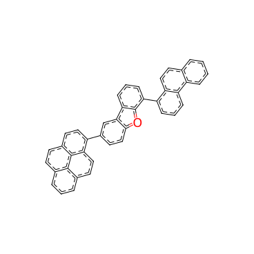 c1ccc2c(c1)ccc1c(-c3cccc4c3oc3ccc(-c5ccc6ccc7cccc8ccc5c6c78)cc34)cccc12